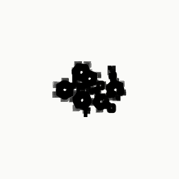 N#Cc1ccnc(N2C(=O)CC[C@H]2C(=O)N(c2cccc(F)c2)[C@@]2(C(=O)Nc3ccccc3)CCc3ccccc32)c1